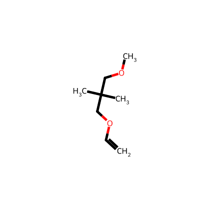 C=COCC(C)(C)COC